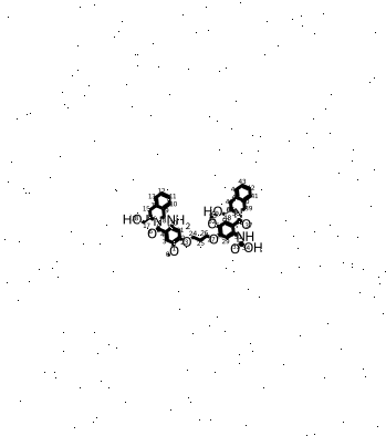 COc1cc(C(=O)N2Cc3ccccc3C[C@@H]2CO)c(N)cc1OCCCOc1cc(NC(=O)O)c(C(=O)N2Cc3ccccc3C[C@H]2CO)cc1OC